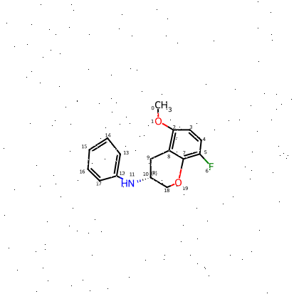 COc1ccc(F)c2c1C[C@@H](Nc1ccccc1)CO2